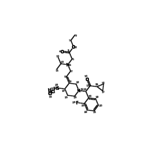 CCOC(=O)CN(CC=C1CN(C(C(=O)C2CC2)c2ccccc2F)CCC1S)C(C)C.Cl.Cl